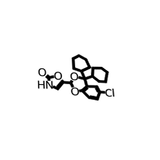 O=c1[nH]cc(C2Oc3ccc(Cl)cc3C(C3CCCCC3)(C3CCCCC3)O2)o1